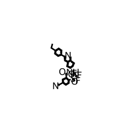 CCc1ccc(-c2cc3cc(NC(=O)c4cc(C#N)ccc4S(=O)(=O)C(F)(F)F)ccc3cn2)cc1